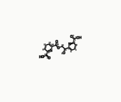 O=C(O)c1cccc(C(=O)COC(=O)c2cccc(C(=O)O)n2)n1